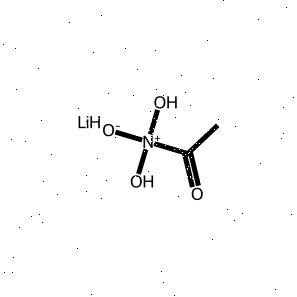 CC(=O)[N+]([O-])(O)O.[LiH]